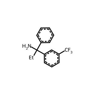 [CH2]CC(N)(c1ccccc1)c1cccc(C(F)(F)F)c1